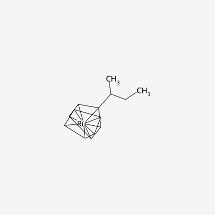 CCC(C)[C]12[CH]3[CH]4[CH]5[CH]1[Ru]45321678[CH]2[CH]1[CH]6[CH]7[CH]28